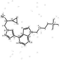 C[Si](C)(C)CCOCn1ccc2c(-c3cnn(CC(C#N)C4CC4)c3)ncnc21